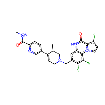 CNC(=O)c1ccc(C2=CCN(Cc3cc4[nH]c(=O)c5c(F)ccn5c4c(F)c3F)CC2C)cn1